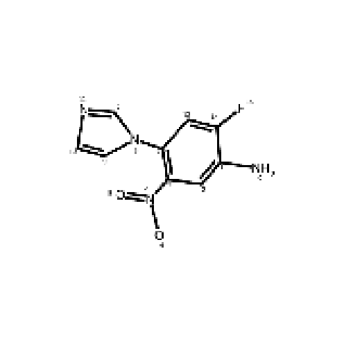 Nc1cc([N+](=O)[O-])c(-n2ccnc2)cc1F